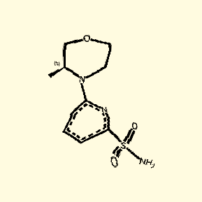 C[C@H]1COCCN1c1cccc(S(N)(=O)=O)n1